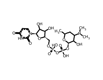 CC1CC(N(C)C)C(O)[C@@H](OP(=O)(O)OP(=O)(O)OC[C@H]2O[C@@H](n3ccc(=O)[nH]c3=O)C(O)C2O)O1